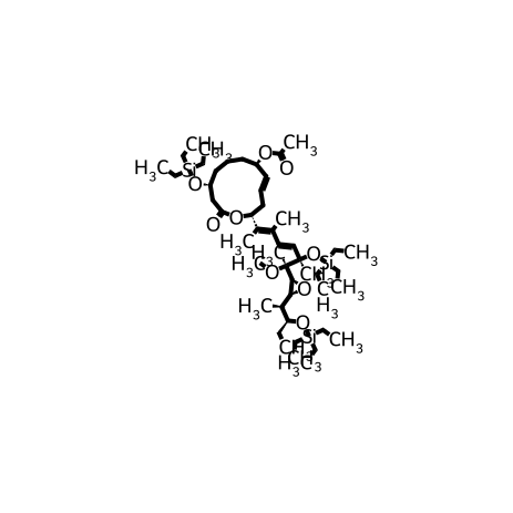 CC[C@H](O[Si](CC)(CC)CC)[C@@H](C)[C@@H]1O[C@@H]1[C@@](C)(OC)[C@@](C)(/C=C/C(C)=C(\C)[C@H]1C/C=C/[C@H](OC(C)=O)CCC[C@@H](O[Si](CC)(CC)CC)CC(=O)O1)O[Si](CC)(CC)CC